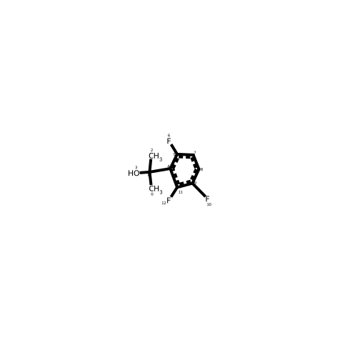 CC(C)(O)c1c(F)ccc(F)c1F